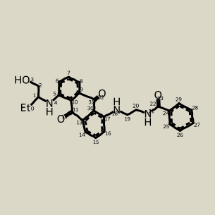 CCC(CO)Nc1cccc2c1C(=O)c1cccc(NCCNC(=O)c3ccccc3)c1C2=O